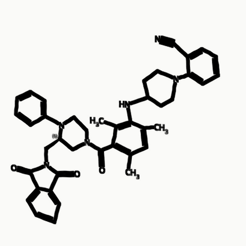 Cc1cc(C)c(C(=O)N2CCN(c3ccccc3)[C@H](CN3C(=O)c4ccccc4C3=O)C2)c(C)c1NC1CCN(c2ccccc2C#N)CC1